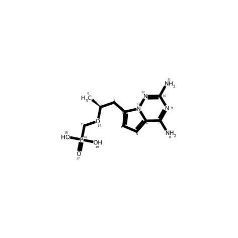 C[C@@H](Cc1ccc2c(N)nc(N)nn12)OCP(=O)(O)O